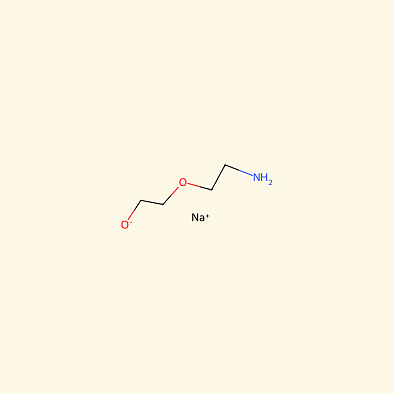 NCCOCC[O-].[Na+]